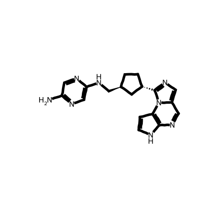 Nc1cnc(NC[C@H]2CC[C@H](c3ncc4cnc5[nH]ccc5n34)C2)cn1